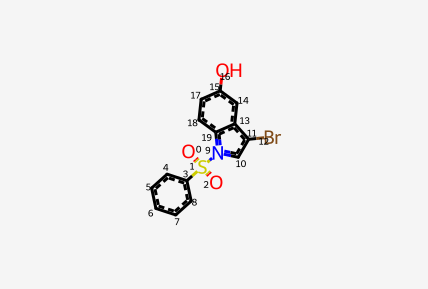 O=S(=O)(c1ccccc1)n1cc(Br)c2cc(O)ccc21